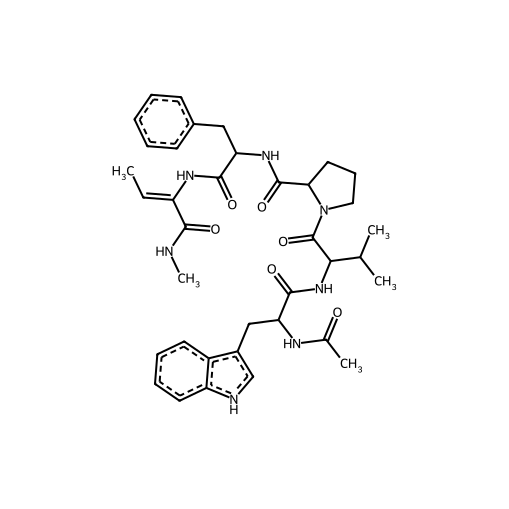 C/C=C(\NC(=O)C(Cc1ccccc1)NC(=O)C1CCCN1C(=O)C(NC(=O)C(Cc1c[nH]c2ccccc12)NC(C)=O)C(C)C)C(=O)NC